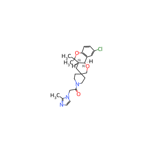 Cc1nccn1CC(=O)N1CCC2(CC1)CO[C@@H]1c3cc(Cl)ccc3OC(C)(C)[C@H]1C2